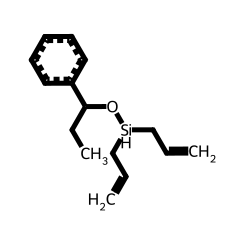 C=CC[SiH](CC=C)OC(CC)c1ccccc1